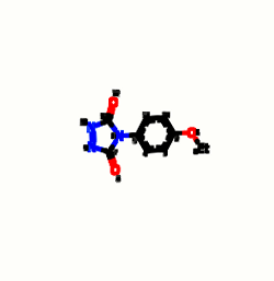 CCOc1ccc(N2C(=O)N=NC2=O)cc1